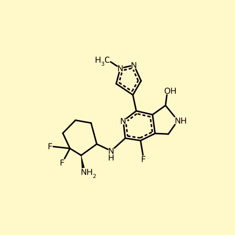 Cn1cc(-c2nc(NC3CCCC(F)(F)[C@@H]3N)c(F)c3c2C(O)NC3)cn1